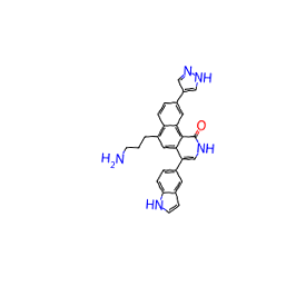 NCCCc1cc2c(-c3ccc4[nH]ccc4c3)c[nH]c(=O)c2c2cc(-c3cn[nH]c3)ccc12